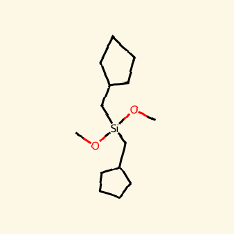 CO[Si](CC1CCCC1)(CC1CCCC1)OC